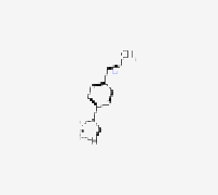 [CH2]/C=C/c1ccc(C2C=NN=N2)cc1